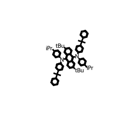 CC(C)c1ccc(N(c2ccc(C(C)(C)c3ccccc3)cc2)c2c3ccc(C(C)(C)C)cc3c(N(c3ccc(C(C)C)cc3)c3ccc(C(C)(C)c4ccccc4)cc3)c3ccc(C(C)(C)C)cc23)cc1